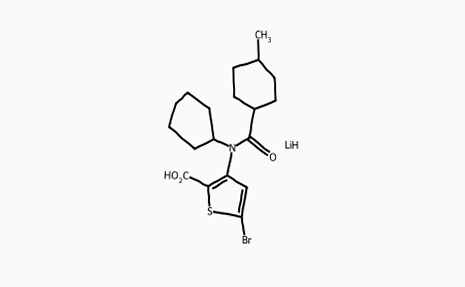 CC1CCC(C(=O)N(c2cc(Br)sc2C(=O)O)C2CCCCC2)CC1.[LiH]